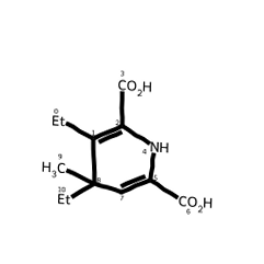 CCC1=C(C(=O)O)NC(C(=O)O)=CC1(C)CC